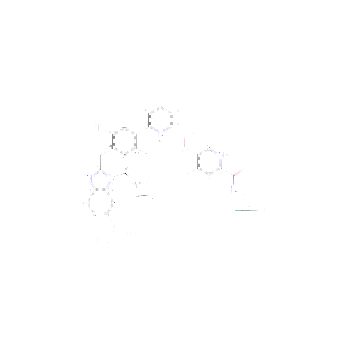 O=C(NCC(F)(F)F)c1cc(Cl)c(COc2cccc(-c3cc(F)c(Cc4nc5ccc(C(O)O)cc5n4C[C@@H]4CCO4)cc3F)n2)cn1